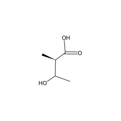 CC(O)[C@@H](C)C(=O)O